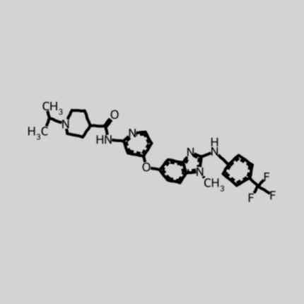 CC(C)N1CCC(C(=O)Nc2cc(Oc3ccc4c(c3)nc(Nc3ccc(C(F)(F)F)cc3)n4C)ccn2)CC1